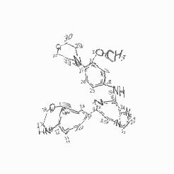 COc1cc(Nc2nc(-c3ccc4c(c3)OCCN4)cn3ccnc23)ccc1N1CCOCC1